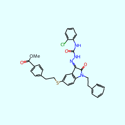 COC(=O)c1ccc(CCSc2ccc3c(c2)C(=NNC(=O)Nc2ccccc2Cl)C(=O)N3CCc2ccccc2)cc1